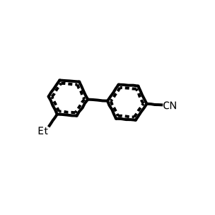 CCc1cccc(-c2ccc(C#N)cc2)c1